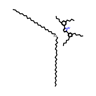 CCCCCCCCCCCCCCCCCCCCCCC[CH2][Pd][CH2]CCCCCCCCCCCCCCCCCCCCCCC.CCCCCc1cc(CCCCC)cc(C2=CC=C(c3cc(CCCC)cc(CCCC)c3)[N+]2=[N-])c1